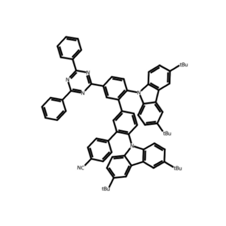 CC(C)(C)c1ccc2c(c1)c1cc(C(C)(C)C)ccc1n2-c1ccc(-c2nc(-c3ccccc3)nc(-c3ccccc3)n2)cc1-c1ccc(-n2c3ccc(C(C)(C)C)cc3c3cc(C(C)(C)C)ccc32)c(-c2ccc(C#N)cc2)c1